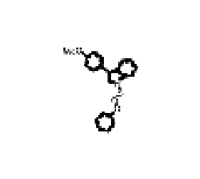 COc1ccc(-c2cn(SOOc3ccccc3)c3ccccc23)cc1